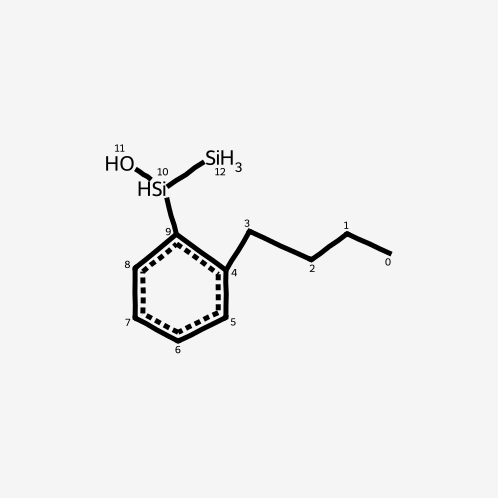 CCCCc1ccccc1[SiH](O)[SiH3]